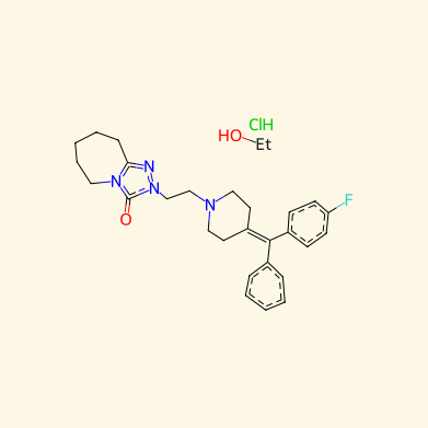 CCO.Cl.O=c1n(CCN2CCC(=C(c3ccccc3)c3ccc(F)cc3)CC2)nc2n1CCCCC2